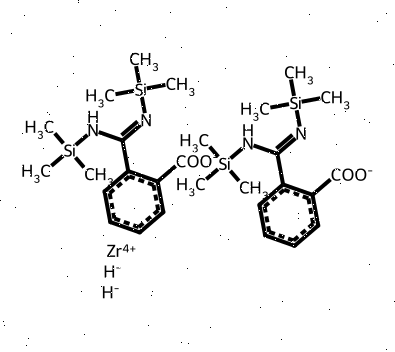 C[Si](C)(C)N=C(N[Si](C)(C)C)c1ccccc1C(=O)[O-].C[Si](C)(C)N=C(N[Si](C)(C)C)c1ccccc1C(=O)[O-].[H-].[H-].[Zr+4]